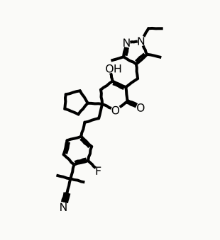 CCn1nc(C)c(CC2=C(O)CC(CCc3ccc(C(C)(C)C#N)c(F)c3)(C3CCCC3)OC2=O)c1C